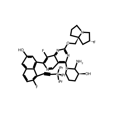 CC(C)[Si](C#Cc1c(F)ccc2cc(O)cc(-c3ncc4c(N5CCC[C@H](O)C5N)nc(OC[C@@]56CCCN5C[C@H](F)C6)nc4c3F)c12)(C(C)C)C(C)C